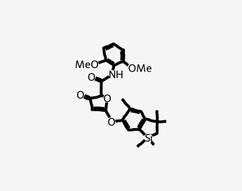 COc1cccc(OC)c1NC(=O)C1OC(Oc2cc3c(cc2C)C(C)(C)C[Si]3(C)C)=CC1=O